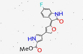 COC(=O)c1cc(C2=CC(=C3C(=O)Nc4cc(F)ccc43)OC2)c[nH]1